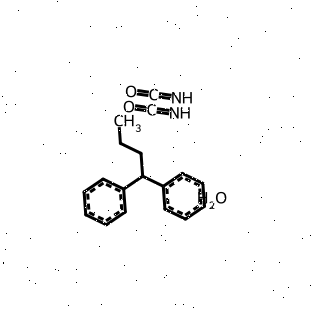 CCCC(c1ccccc1)c1ccccc1.N=C=O.N=C=O.O